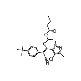 CCCC(=O)OC(C)O/C(=C(/C#N)c1ccc(C(C)(C)C)cc1)c1c(Cl)c(C)nn1C